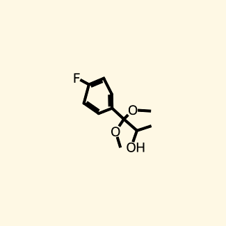 COC(OC)(c1ccc(F)cc1)C(C)O